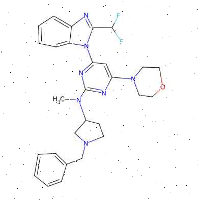 CN(c1nc(N2CCOCC2)cc(-n2c(C(F)F)nc3ccccc32)n1)C1CCN(Cc2ccccc2)C1